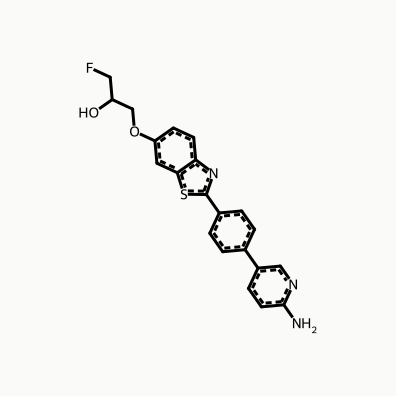 Nc1ccc(-c2ccc(-c3nc4ccc(OCC(O)CF)cc4s3)cc2)cn1